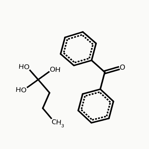 CCCC(O)(O)O.O=C(c1ccccc1)c1ccccc1